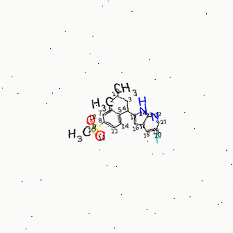 CC(C)CC(c1ccc(S(C)(=O)=O)cc1)c1cc2cc(F)cnc2[nH]1